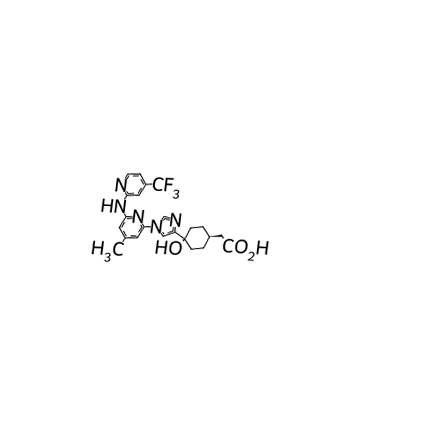 Cc1cc(Nc2cc(C(F)(F)F)ccn2)nc(-n2cnc([C@]3(O)CC[C@@H](CC(=O)O)CC3)c2)c1